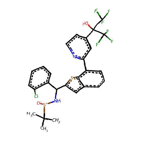 CC(C)(C)[S+]([O-])NC(c1cc2cccc(-c3cc(C(O)(C(F)(F)F)C(F)(F)F)ccn3)c2s1)c1ccccc1Cl